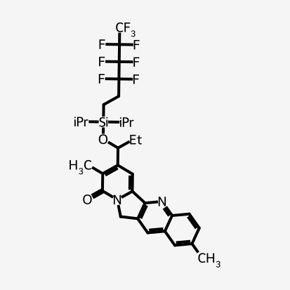 CCC(O[Si](CCC(F)(F)C(F)(F)C(F)(F)C(F)(F)F)(C(C)C)C(C)C)c1cc2n(c(=O)c1C)Cc1cc3cc(C)ccc3nc1-2